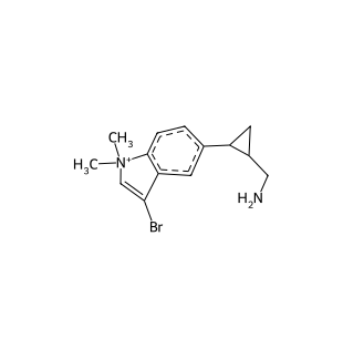 C[N+]1(C)C=C(Br)c2cc(C3CC3CN)ccc21